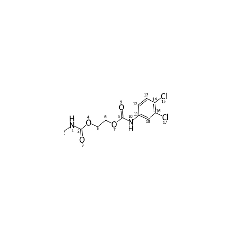 CNC(=O)OCCOC(=O)Nc1ccc(Cl)c(Cl)c1